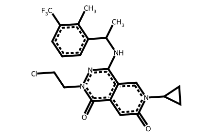 Cc1c(C(C)Nc2nn(CCCl)c(=O)c3cc(=O)n(C4CC4)cc23)cccc1C(F)(F)F